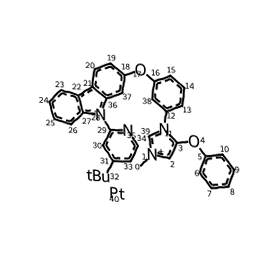 C[n+]1cc(Oc2ccccc2)n(-c2cccc(Oc3ccc4c5ccccc5n(-c5cc(C(C)(C)C)ccn5)c4c3)c2)c1.[Pt]